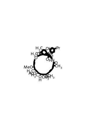 CO[C@H]1/C=C/CO[C@@]2(C)Oc3c(C)c(O)c4c(=O)c(c5sc6cc(C(C)C)ccc6nc-5c4c3C2=O)NC(=O)/C(C)=C\C=C\[C@H](C)[C@H](O)[C@@H](C)[C@@H](O)[C@@H](C)[C@H](OC(C)=O)[C@@H]1C